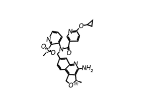 C[C@H]1OCc2c1c(N)nc1cc(CN(C(=O)c3ccc(OC4CC4)nc3)c3cccnc3S(C)(=O)=O)ccc21